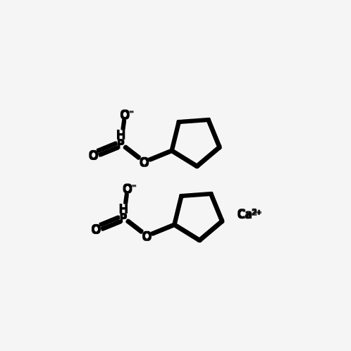 O=[PH]([O-])OC1CCCC1.O=[PH]([O-])OC1CCCC1.[Ca+2]